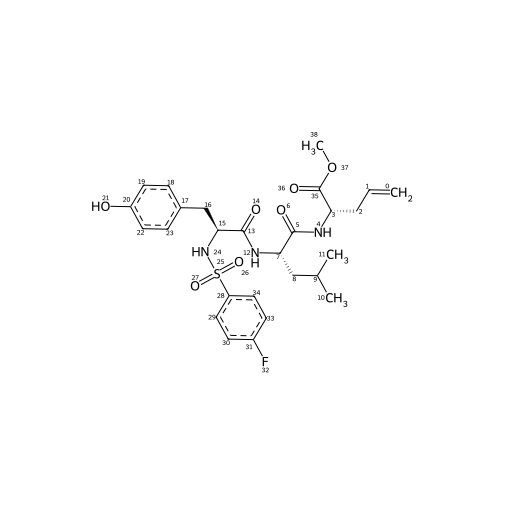 C=CC[C@H](NC(=O)[C@H](CC(C)C)NC(=O)[C@H](Cc1ccc(O)cc1)NS(=O)(=O)c1ccc(F)cc1)C(=O)OC